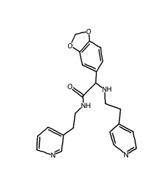 O=C(NCCc1cccnc1)C(NCCc1ccncc1)c1ccc2c(c1)OCO2